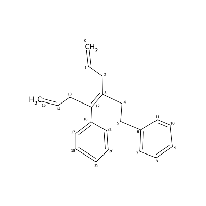 C=CCC(CCc1ccccc1)=C(CC=C)c1ccccc1